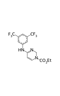 CCOC(=O)N1C=CC(Nc2cc(C(F)(F)F)cc(C(F)(F)F)c2)=NC1